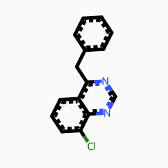 Clc1cccc2c(Cc3ccccc3)ncnc12